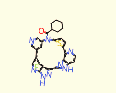 O=C(C1CCCCC1)n1c2cncc(c2)c2cnc3[nH]nc(c4nc5c(ccnc5c5ccc1s5)[nH]4)c3c2F